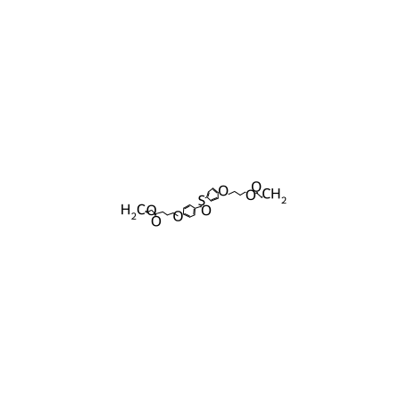 C=COC(=O)CCCOc1ccc(C(=O)Sc2ccc(OCCCCOC(=O)C=C)cc2)cc1